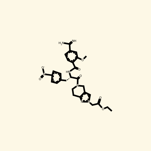 CCOC(=O)Cn1cc2c(n1)CCN(C(=O)[C@H](Cc1ccc([N+](=O)[O-])cc1)NC(=O)c1ccc(C(=N)N)cc1OC)C2